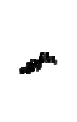 CCN(CCN)c1ccc(CN2[C@@H](C)CCC(c3ccsc3)S2(=O)=O)c(F)c1